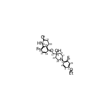 CCOc1ccc(N2CCC(O)(COc3ccc(F)c4c3CCC(=O)N4)CC2)c(F)c1